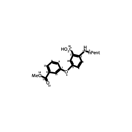 CCCCCNc1ccc(Oc2cccc(C(=O)OC)c2)cc1C(=O)O